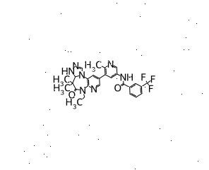 CCN1C(=O)C(C)(C)C2NN=CN2c2cc(-c3cc(NC(=O)c4cccc(C(F)(F)F)c4)cnc3C)cnc21